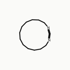 C1=NCCCCCCCCCCCCN=1